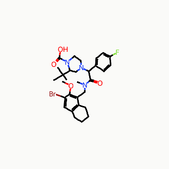 COc1c(Br)cc2c(c1CN(C)C(=O)C(c1ccc(F)cc1)N1CCN(C(=O)O)C(C(C)(C)C)C1)CCCC2